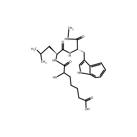 CNC(=O)[C@H](Cc1c[nH]c2ccccc12)NC(=O)[C@H](CC(C)C)NC(=O)C(S)CCCCC(=O)O